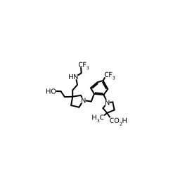 CC1(C(=O)O)CCN(c2cc(C(F)(F)F)ccc2CN2CCC(CCO)(CCNCC(F)(F)F)C2)C1